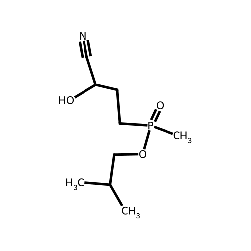 CC(C)COP(C)(=O)CCC(O)C#N